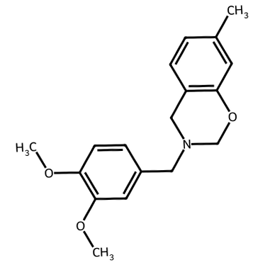 COc1ccc(CN2COc3cc(C)ccc3C2)cc1OC